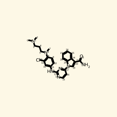 CN(C)CCCN(C)c1ccc(Nc2nccc(-n3cc(C(N)=O)c4ccccc43)n2)cc1Cl